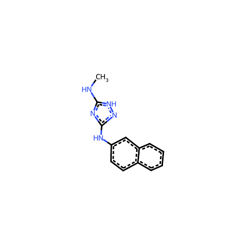 CNc1nc(Nc2ccc3ccccc3c2)n[nH]1